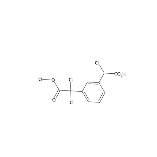 O=C(O)C(Cl)c1cccc(C(Cl)(Cl)C(=O)OCl)c1